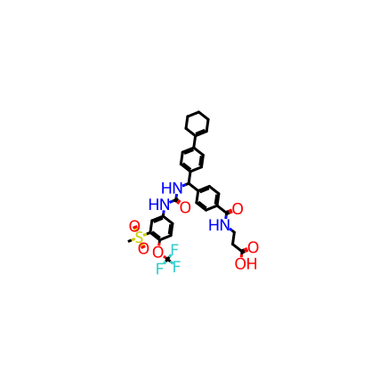 CS(=O)(=O)c1cc(NC(=O)NC(c2ccc(C(=O)NCCC(=O)O)cc2)c2ccc(C3=CCCCC3)cc2)ccc1OC(F)(F)F